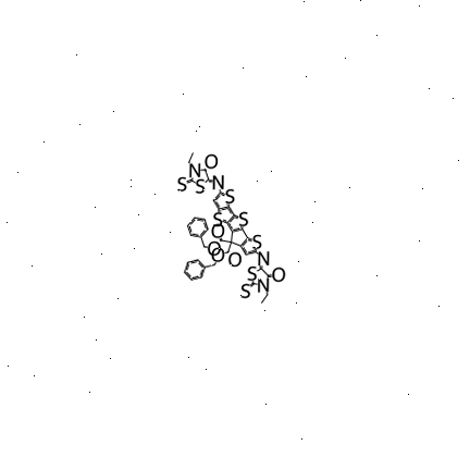 CCN1C(=O)/C(=N/c2cc3c(s2)-c2sc4c(sc5cc(/N=C6\SC(=S)N(CC)C6=O)sc54)c2C3(C(=O)OCc2ccccc2)C(=O)OCc2ccccc2)SC1=S